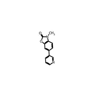 Cn1c(=O)oc2cc(-c3cccnc3)ccc21